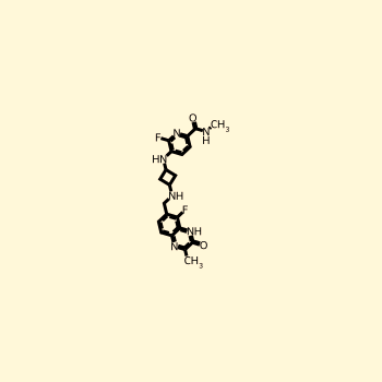 CNC(=O)c1ccc(NC2CC(NCc3ccc4nc(C)c(=O)[nH]c4c3F)C2)c(F)n1